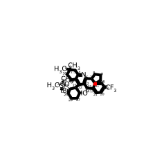 CC1(C)Cc2nc(C3CCCC3)c([C@@H](O)c3ccc(C(F)(F)F)cc3)c(C3CCCCC3)c2[C@@H](O[Si](C)(C)C(C)(C)C)C1